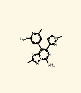 Cc1cc(-c2c(-c3ccn(C)n3)nc(N)n3nc(C)nc23)cc(C(F)(F)F)n1